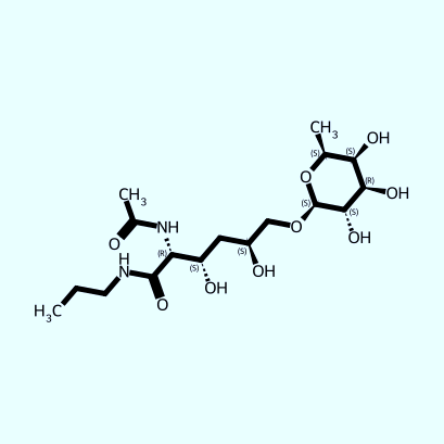 CCCNC(=O)[C@H](NC(C)=O)[C@@H](O)C[C@H](O)CO[C@H]1O[C@@H](C)[C@@H](O)[C@@H](O)[C@@H]1O